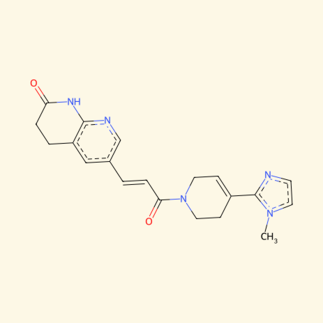 Cn1ccnc1C1=CCN(C(=O)/C=C/c2cnc3c(c2)CCC(=O)N3)CC1